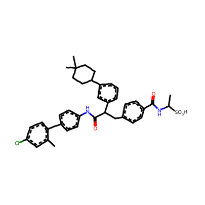 Cc1cc(Cl)ccc1-c1ccc(NC(=O)C(Cc2ccc(C(=O)NC(C)S(=O)(=O)O)cc2)c2cccc(C3CCC(C)(C)CC3)c2)cc1